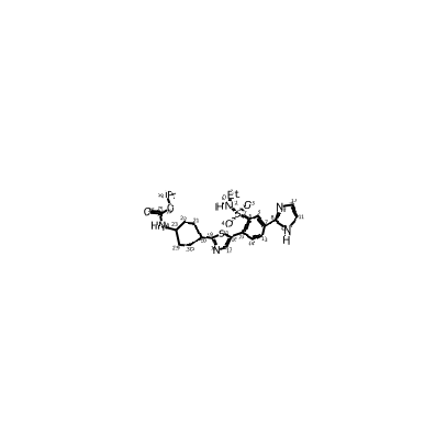 CCNS(=O)(=O)c1cc(-c2ncc[nH]2)ccc1-c1cnc(C2CCC(NC(=O)OC(C)C)CC2)s1